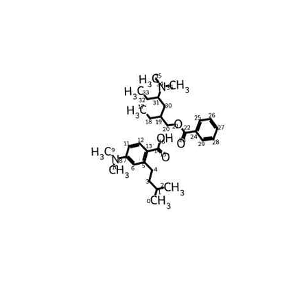 CC(C)CCc1cc(N(C)C)ccc1C(=O)O.CCC(COC(=O)c1ccccc1)CC(CC)N(C)C